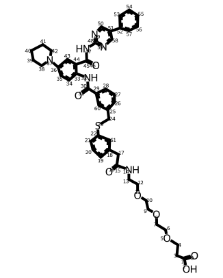 O=C(O)CCOCCOCCOCCNC(=O)Cc1cccc(SCc2cccc(C(=O)Nc3ccc(N4CCCCC4)cc3C(=O)Nc3ncc(-c4ccccc4)cn3)c2)c1